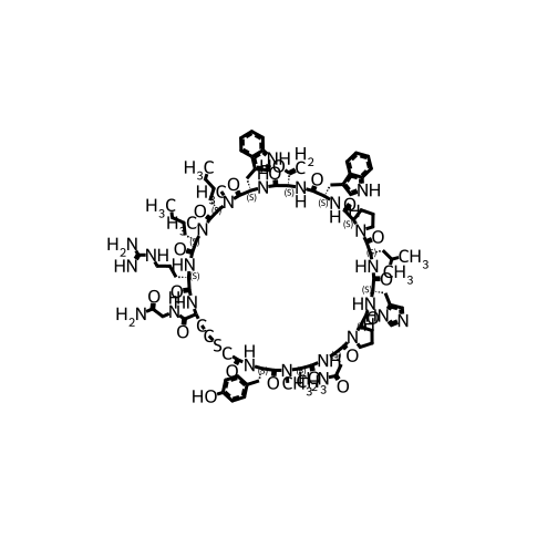 C=C(O)[C@@H]1NC(=O)[C@H](Cc2c[nH]c3ccccc23)NC(=O)[C@@H]2CCCN2C(=O)[C@H](CC(C)C)NC(=O)[C@H](Cc2cnc[nH]2)NC(=O)[C@@H]2CCCN2C(=O)[C@H](CC(N)=O)NC(=O)[C@H](C)N(C)C(=O)[C@H](Cc2ccc(O)cc2)NC(=O)CSCCC(C(=O)NCC(N)=O)NC(=O)[C@H](CCCNC(=N)N)NC(=O)[C@H](CCCC)N(C)C(=O)[C@H](CCCC)N(C)C(=O)[C@H](Cc2c[nH]c3ccccc23)NC1=O